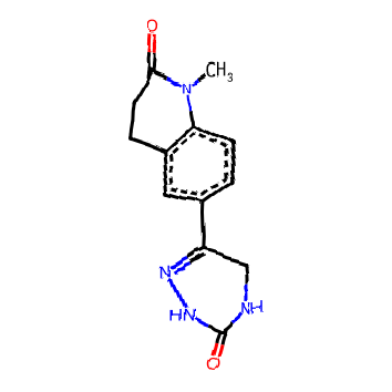 CN1C(=O)CCc2cc(C3=NNC(=O)NC3)ccc21